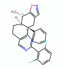 C[C@@H]1c2oncc2C[C@]2(c3ccccc3)c3nc(-c4c(F)cccc4F)ncc3CC[C@@H]12